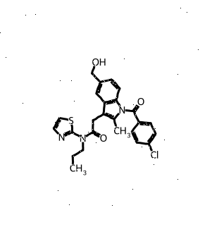 CCCN(C(=O)Cc1c(C)n(C(=O)c2ccc(Cl)cc2)c2ccc(CO)cc12)c1nccs1